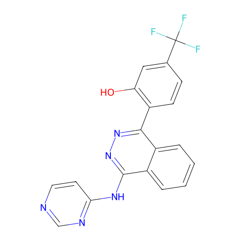 Oc1cc(C(F)(F)F)ccc1-c1nnc(Nc2ccncn2)c2ccccc12